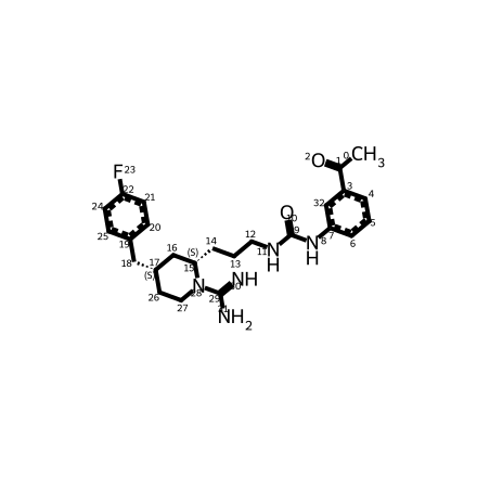 CC(=O)c1cccc(NC(=O)NCCC[C@H]2C[C@@H](Cc3ccc(F)cc3)CCN2C(=N)N)c1